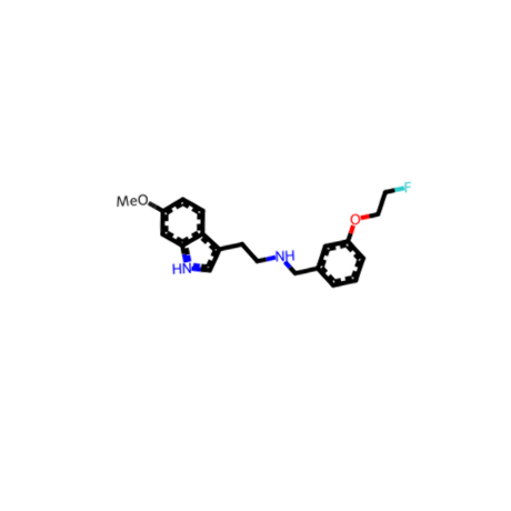 COc1ccc2c(CCNCc3cccc(OCCF)c3)c[nH]c2c1